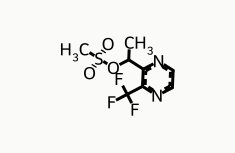 CC(OS(C)(=O)=O)c1nccnc1C(F)(F)F